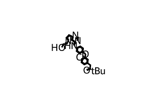 CC(C)(C)C(=O)Cc1cccc(Oc2ccc(Nc3ncnc4ccn(CCO)c34)cc2Cl)c1